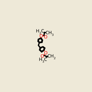 C=C(C)C(=O)Oc1ccc(Cc2ccc(OC(=O)C(=C)C)cc2)cc1